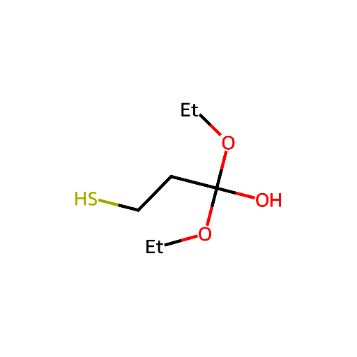 CCOC(O)(CCS)OCC